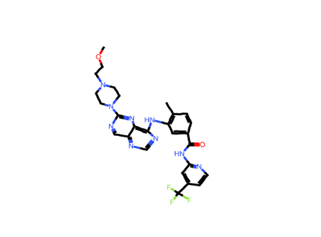 COCCN1CCN(c2ncc3ncnc(Nc4cc(C(=O)Nc5cc(C(F)(F)F)ccn5)ccc4C)c3n2)CC1